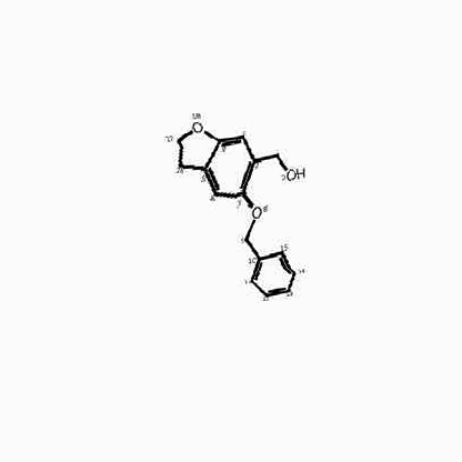 OCc1cc2c(cc1OCc1ccccc1)CCO2